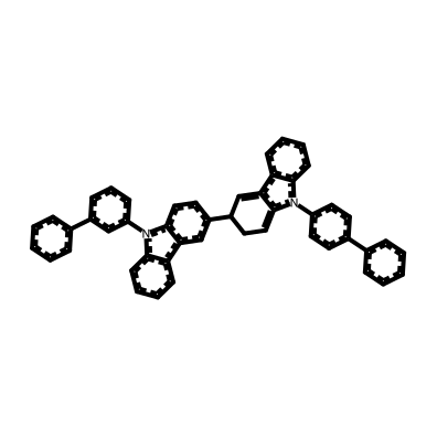 C1=c2c(n(-c3ccc(-c4ccccc4)cc3)c3ccccc23)=CCC1c1ccc2c(c1)c1ccccc1n2-c1cccc(-c2ccccc2)c1